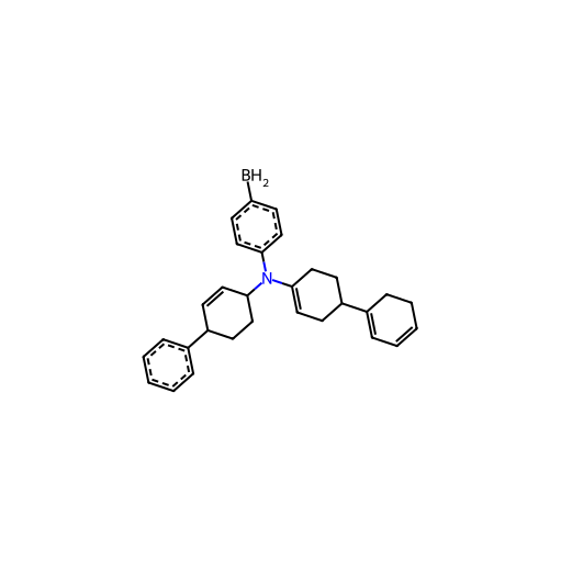 Bc1ccc(N(C2=CCC(C3=CC=CCC3)CC2)C2C=CC(c3ccccc3)CC2)cc1